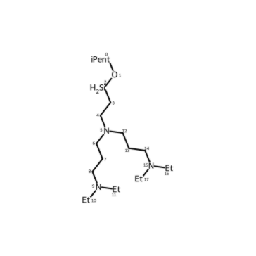 CCCC(C)O[SiH2]CCN(CCCN(CC)CC)CCCN(CC)CC